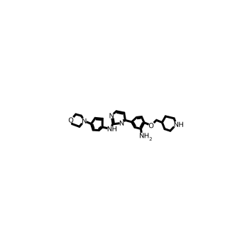 Nc1cc(-c2ccnc(Nc3ccc(N4CCOCC4)cc3)n2)ccc1OCC1CCNCC1